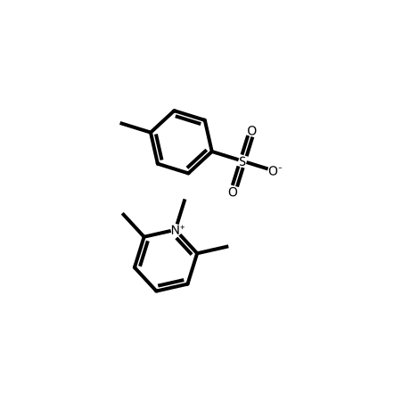 Cc1ccc(S(=O)(=O)[O-])cc1.Cc1cccc(C)[n+]1C